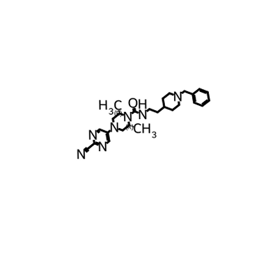 C[C@@H]1CN(c2cnc(C#N)nc2)C[C@@H](C)N1C(=O)NCCC1CCN(Cc2ccccc2)CC1